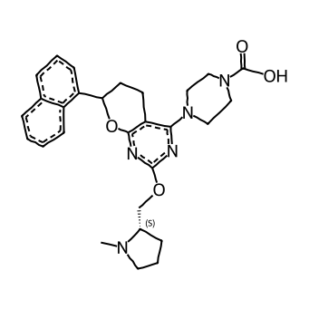 CN1CCC[C@H]1COc1nc2c(c(N3CCN(C(=O)O)CC3)n1)CCC(c1cccc3ccccc13)O2